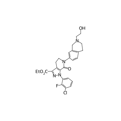 CCOC(=O)c1nn(-c2cccc(Cl)c2F)c2c1CCN(c1ccc3c(c1)CN(CCO)CC3)C2=O